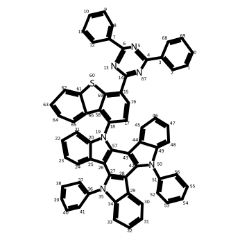 c1ccc(-c2nc(-c3ccccc3)nc(-c3ccc(-n4c5ccccc5c5c6c(c7ccccc7n6-c6ccccc6)c6c(c7ccccc7n6-c6ccccc6)c54)c4c3sc3ccccc34)n2)cc1